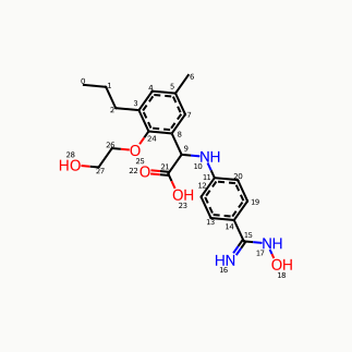 CCCc1cc(C)cc(C(Nc2ccc(C(=N)NO)cc2)C(=O)O)c1OCCO